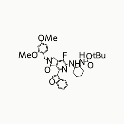 COc1ccc(CN2Cc3c(F)c(N[C@@H]4CCCCC4NC(=O)OC(C)(C)C)nc(-c4coc5ccccc45)c3C2=O)c(OC)c1